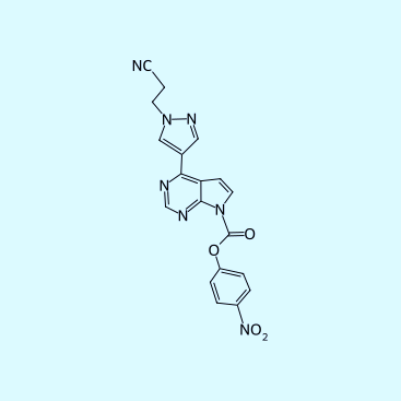 N#CCCn1cc(-c2ncnc3c2ccn3C(=O)Oc2ccc([N+](=O)[O-])cc2)cn1